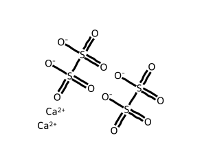 O=S(=O)([O-])S(=O)(=O)[O-].O=S(=O)([O-])S(=O)(=O)[O-].[Ca+2].[Ca+2]